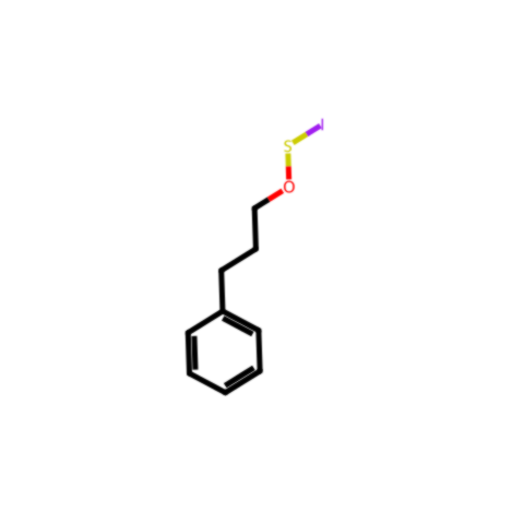 ISOCCCc1ccccc1